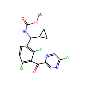 CC(C)(C)OC(=O)NC(c1ccc(Cl)c(C(=O)c2cnc(Cl)cn2)c1F)C1CC1